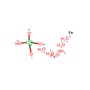 O.O.O.O.O.O.[Fe].[O-][Cl+3]([O-])([O-])O